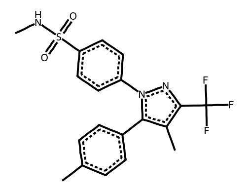 CNS(=O)(=O)c1ccc(-n2nc(C(F)(F)F)c(C)c2-c2ccc(C)cc2)cc1